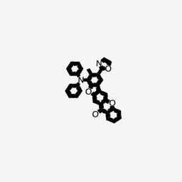 Cc1c(-c2ncco2)cc2c(oc3cc4c(=O)c5ccccc5oc4cc32)c1N(c1ccccc1)c1ccccc1